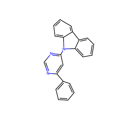 c1ccc(-c2cc(-n3c4ccccc4c4ccccc43)ncn2)cc1